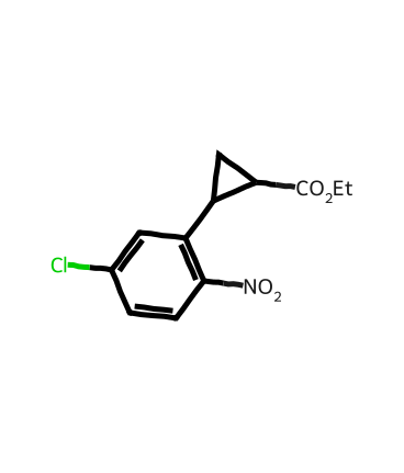 CCOC(=O)C1CC1c1cc(Cl)ccc1[N+](=O)[O-]